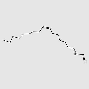 CCCCCCCC/C=C\CCCCCCNC=O